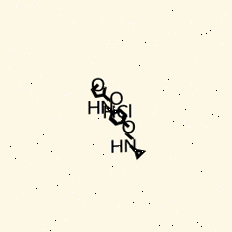 Cl.O=C(Nc1ccc(OCCNC2CC2)cc1)C1CCOC1